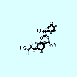 CCCC(OC(=O)N(C)c1ccccc1)c1ccc(CC(=O)NO)cc1